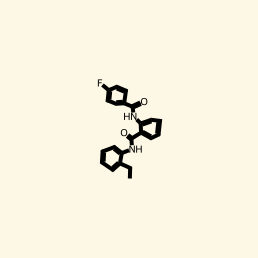 CCc1ccccc1NC(=O)c1ccccc1NC(=O)c1ccc(F)cc1